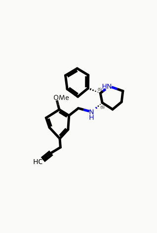 C#CCc1ccc(OC)c(CN[C@H]2CCCN[C@H]2c2ccccc2)c1